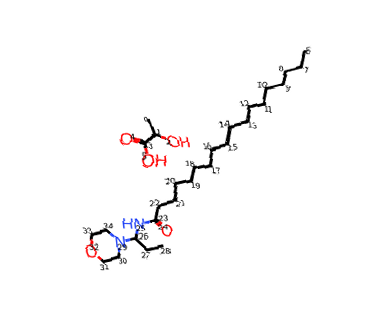 CC(O)C(=O)O.CCCCCCCCCCCCCCCCCC(=O)NC(CC)N1CCOCC1